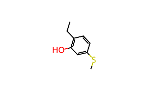 CCc1ccc(SC)cc1O